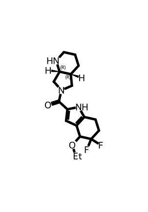 CCOC1c2cc(C(=O)N3C[C@H]4CCCN[C@H]4C3)[nH]c2CCC1(F)F